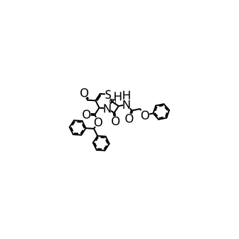 O=CC1=CS[C@@H]2C(NC(=O)COc3ccccc3)C(=O)N2C1C(=O)OC(c1ccccc1)c1ccccc1